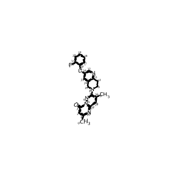 Cc1cc(=O)n2nc(N3CCc4ncc(Oc5ccccc5F)cc4C3)c(C)cc2n1